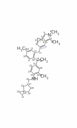 C=C/C(=C\c1ccn(C)c1C)Cc1cc(C)ccc1C(=C)c1ccc(NCC2CCC3(CC3)C2)c(C)c1